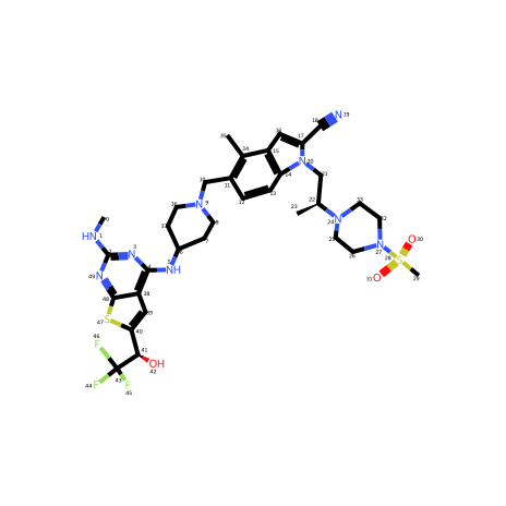 CNc1nc(NC2CCN(Cc3ccc4c(cc(C#N)n4C[C@H](C)N4CCN(S(C)(=O)=O)CC4)c3C)CC2)c2cc([C@@H](O)C(F)(F)F)sc2n1